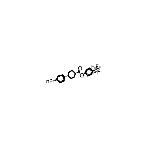 CCCc1ccc([C@H]2CC[C@H](C(=O)Oc3ccc(S(F)(F)(F)(F)F)cc3)CC2)cc1